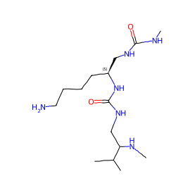 CNC(=O)NC[C@H](CCCCN)NC(=O)NCC(NC)C(C)C